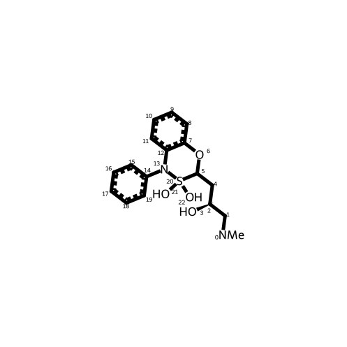 CNC[C@@H](O)CC1Oc2ccccc2N(c2ccccc2)S1(O)O